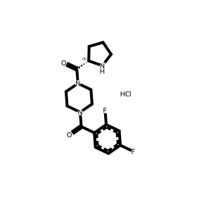 Cl.O=C(c1ccc(F)cc1F)N1CCN(C(=O)[C@@H]2CCCN2)CC1